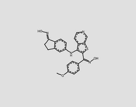 COc1ccc(/C(=N/O)c2sc3cnccc3c2Nc2ccc3c(c2)CC/C3=N\O)cc1